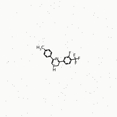 Cc1ccc(C2=CPCC(c3ccc(C(F)(F)F)c(F)c3)=N2)cc1